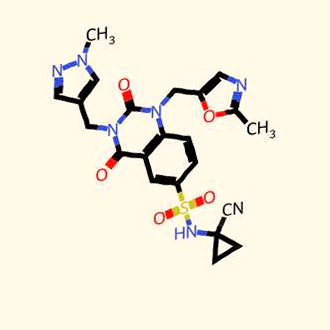 Cc1ncc(Cn2c(=O)n(Cc3cnn(C)c3)c(=O)c3cc(S(=O)(=O)NC4(C#N)CC4)ccc32)o1